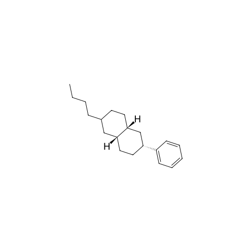 CCCCC1CC[C@@H]2C[C@H](c3ccccc3)CC[C@@H]2C1